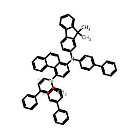 C=C/C=C(\C=C/N(c1ccc(-c2ccccc2)cc1)c1ccc(N(c2ccc(-c3ccccc3)cc2)c2ccc3c(c2)C(C)(C)c2ccccc2-3)c2ccc3ccccc3c12)c1ccccc1